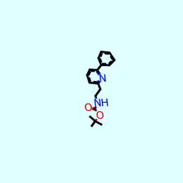 CC(C)(C)OC(=O)NCCc1cccc(-c2ccccc2)n1